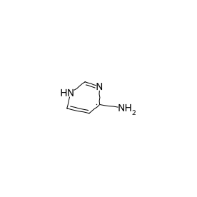 N[C]1C=CNC=N1